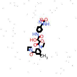 CC1=CC(C(=O)N2CCC2)CC(N2CCO[C@H]([C@@H](O)C(=O)Nc3ccc(-c4noc(=O)[nH]4)cc3)C2=O)=C1